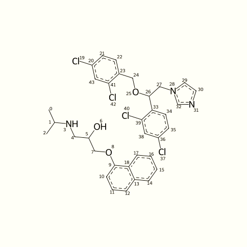 CC(C)NCC(O)COc1cccc2ccccc12.Clc1ccc(COC(Cn2ccnc2)c2ccc(Cl)cc2Cl)c(Cl)c1